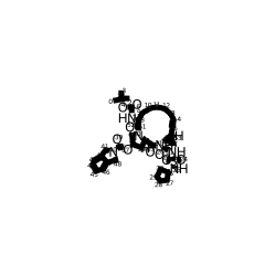 CC(C)(C)OC(=O)N[C@H]1CCCCC/C=C\[C@@H]2C[C@@]2(C(=O)NS(=O)(=O)NC2CCCC2)NC(=O)[C@@H]2C[C@@H](OC(=O)N3Cc4ccccc4C3)CN2C1=O